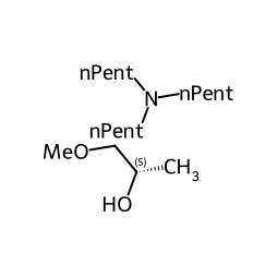 CCCCCN(CCCCC)CCCCC.COC[C@H](C)O